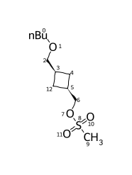 CCCCOC[C@H]1C[C@@H](COS(C)(=O)=O)C1